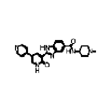 CN1CCC(NC(=O)c2ccc3[nH]c(-c4cc(-c5ccncc5)c[nH]c4=O)nc3c2)CC1